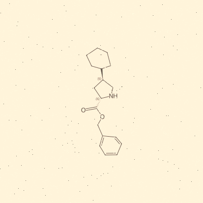 O=C(OCc1ccccc1)[C@@H]1C[C@@H](C2CCCCC2)CN1